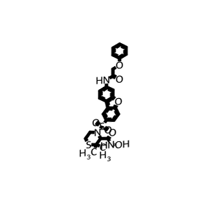 CC1(C)SCCN(S(=O)(=O)c2ccc3oc4cc(NC(=O)COc5ccccc5)ccc4c3c2)C1C(=O)NO